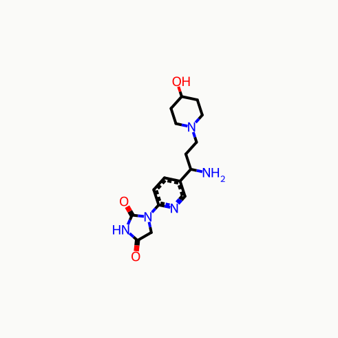 NC(CCN1CCC(O)CC1)c1ccc(N2CC(=O)NC2=O)nc1